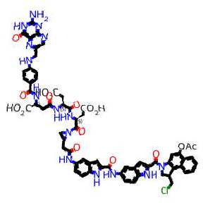 CC(=O)Oc1cc2c(c3ccccc13)C(CCl)CN2C(=O)c1cc2cc(NC(=O)c3cc4cc(NC(=O)CC5CN5C(=O)[C@H](CC(=O)O)NC(=O)[C@H](CC(=O)O)NC(=O)C[C@H](NC(=O)c5ccc(NCc6cnc7nc(N)[nH]c(=O)c7n6)cc5)C(=O)O)ccc4[nH]3)ccc2[nH]1